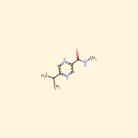 CNC(=O)c1cnc(C(C)C)cn1